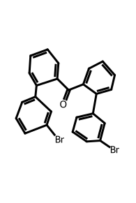 O=C(c1ccccc1-c1cccc(Br)c1)c1ccccc1-c1cccc(Br)c1